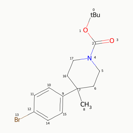 CC(C)(C)OC(=O)N1CCC(C)(c2ccc(Br)cc2)CC1